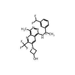 Cc1nnc(N[C@H](C)c2cccc(C(F)F)c2)c2cc(N3CC(O)C3)c(C(F)(F)F)nc12